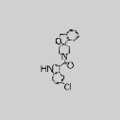 O=C(c1c[nH]c2ccc(Cl)cc12)N1CCC2(CC1)OCc1ccccc12